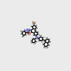 Brc1ccc2c(c1)c1c(c3cc(N(c4ccccc4)c4ccc(-c5cccc6ccccc56)cc4)ccc32)OC(c2ccccc2)N1